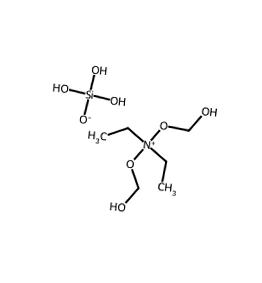 CC[N+](CC)(OCO)OCO.[O-][Si](O)(O)O